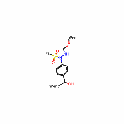 CCCCCOCNN(c1ccc(C(O)CCCCC)cc1)S(=O)(=O)CC